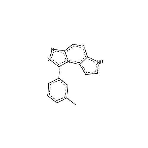 Cc1cccc(-c2nnc3cnc4[nH]ccc4n23)c1